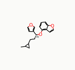 CC1CC1CC[C@H](Oc1cccc2occc12)c1ccoc1